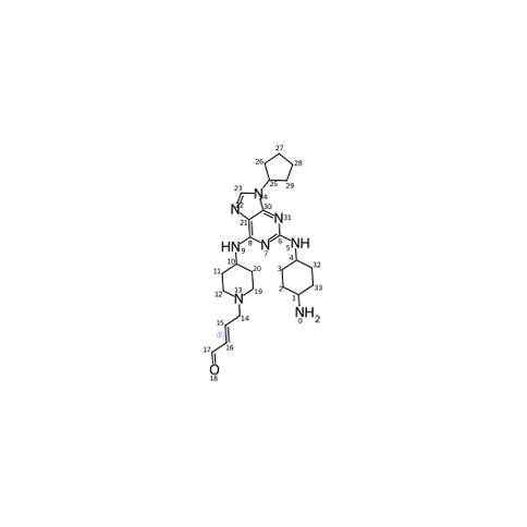 NC1CCC(Nc2nc(NC3CCN(C/C=C/C=O)CC3)c3ncn(C4CCCC4)c3n2)CC1